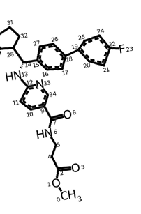 COC(=O)CCNC(=O)c1ccc(N[C@@H](c2ccc(-c3ccc(F)cc3)cc2)C2CCCC2)nc1